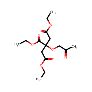 CCOC(=O)CC(CC(=O)OCC)(OCC(C)=O)C(=O)OCC